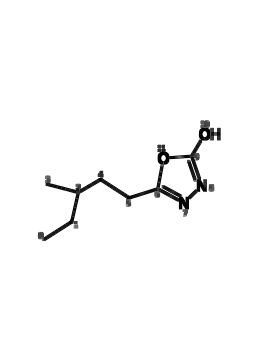 CCC(C)CCc1nnc(O)o1